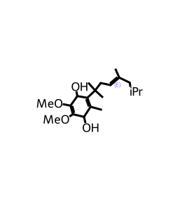 COC1=C(OC)C(O)C(C(C)(C)C/C=C(\C)CC(C)C)=C(C)C1O